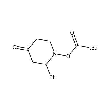 CCC1CC(=O)CCN1OC(=O)C(C)(C)C